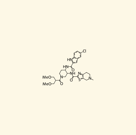 COCC(COC)C(=O)N1CCC(NC(=O)c2cc3cc(Cl)ccc3[nH]2)C(NC(=O)c2nc3c(s2)CN(C)CC3)C1